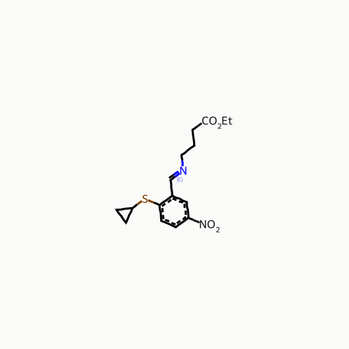 CCOC(=O)CCC/N=C/c1cc([N+](=O)[O-])ccc1SC1CC1